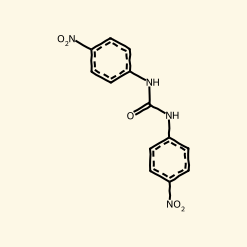 O=C(Nc1ccc([N+](=O)[O-])cc1)Nc1ccc([N+](=O)[O-])cc1